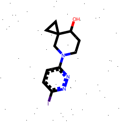 OC1CCN(c2ccc(I)nn2)CC12CC2